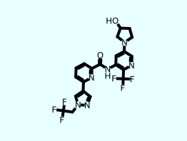 O=C(Nc1cc(N2CCC(O)C2)cnc1C(F)(F)F)c1cccc(-c2cnn(CC(F)(F)F)c2)n1